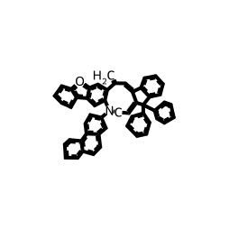 C=C1/C=C2\C(=C/CN(c3ccc4c(ccc5ccccc54)c3)c3cc4c(cc31)oc1ccccc14)C(c1ccccc1)(c1ccccc1)c1ccccc12